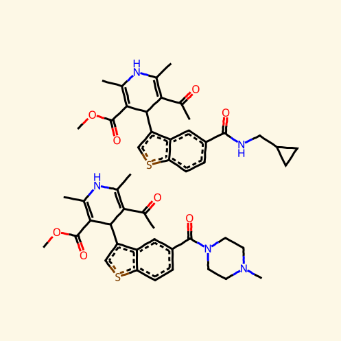 COC(=O)C1=C(C)NC(C)=C(C(C)=O)C1c1csc2ccc(C(=O)N3CCN(C)CC3)cc12.COC(=O)C1=C(C)NC(C)=C(C(C)=O)C1c1csc2ccc(C(=O)NCC3CC3)cc12